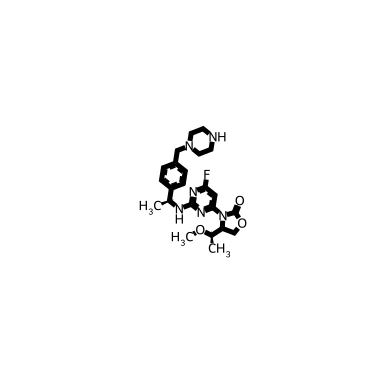 CO[C@H](C)C1COC(=O)N1c1cc(F)nc(N[C@@H](C)c2ccc(CN3CCNCC3)cc2)n1